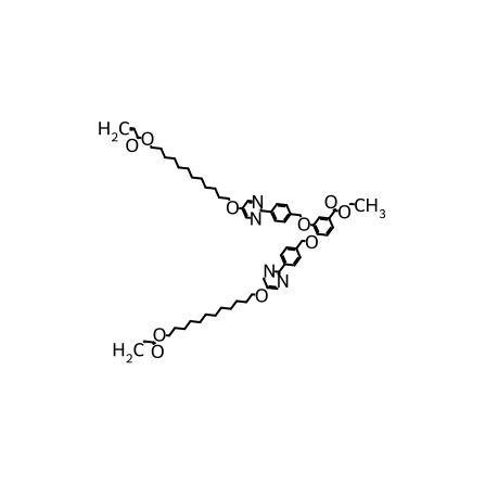 C=CC(=O)OCCCCCCCCCCCCOc1cnc(-c2ccc(COc3ccc(C(=O)OCC)cc3OCc3ccc(-c4ncc(OCCCCCCCCCCCCOC(=O)C=C)cn4)cc3)cc2)nc1